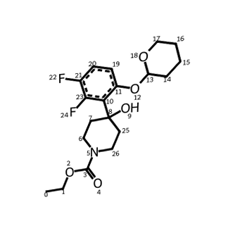 CCOC(=O)N1CCC(O)(c2c(OC3CCCCO3)ccc(F)c2F)CC1